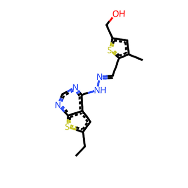 CCc1cc2c(N/N=C/c3sc(CO)cc3C)ncnc2s1